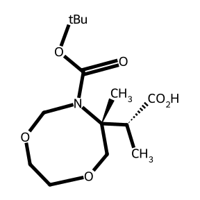 C[C@@H](C(=O)O)[C@]1(C)COCCOCN1C(=O)OC(C)(C)C